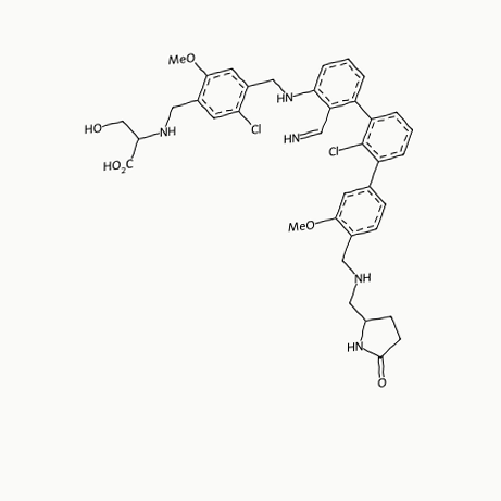 COc1cc(-c2cccc(-c3cccc(NCc4cc(OC)c(CNC(CO)C(=O)O)cc4Cl)c3C=N)c2Cl)ccc1CNCC1CCC(=O)N1